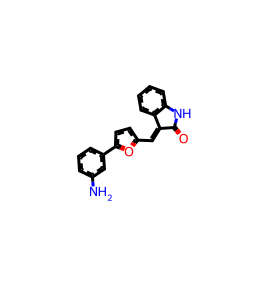 Nc1cccc(-c2ccc(/C=C3/C(=O)Nc4ccccc43)o2)c1